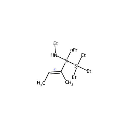 C/C=C(\C)[Si](CCC)(NCC)[Si](CC)(CC)CC